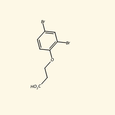 O=C(O)CCOc1ccc(Br)cc1Br